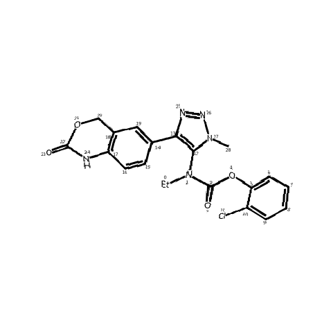 CCN(C(=O)Oc1ccccc1Cl)c1c(-c2ccc3c(c2)COC(=O)N3)nnn1C